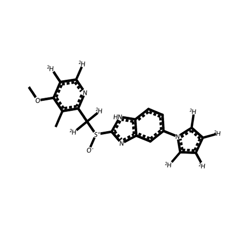 [2H]c1nc(C([2H])([2H])[S+]([O-])c2nc3cc(-n4c([2H])c([2H])c([2H])c4[2H])ccc3[nH]2)c(C)c(OC)c1[2H]